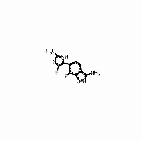 Cc1nc(F)c(-c2ccc3c(N)noc3c2F)[nH]1